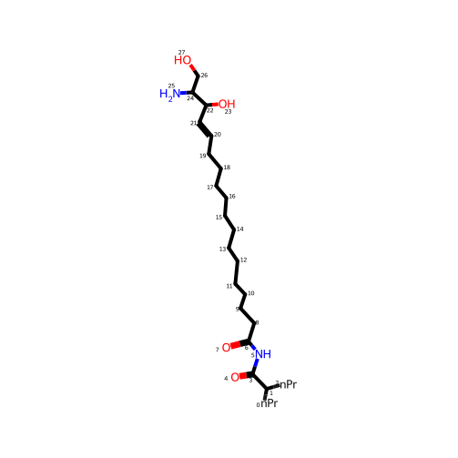 CCCC(CCC)C(=O)NC(=O)CCCCCCCCCCCCC=CC(O)C(N)CO